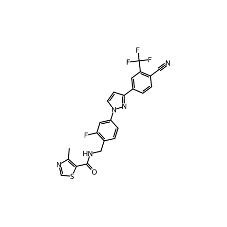 Cc1ncsc1C(=O)NCc1ccc(-n2ccc(-c3ccc(C#N)c(C(F)(F)F)c3)n2)cc1F